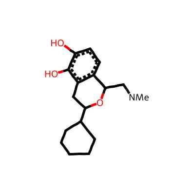 CNCC1OC(C2CCCCC2)Cc2c1ccc(O)c2O